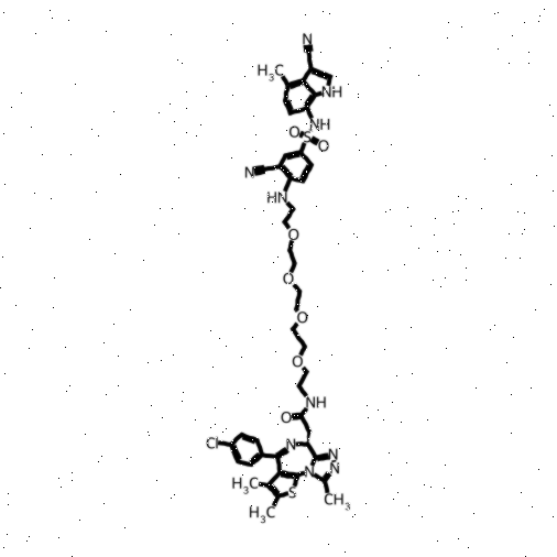 Cc1sc2c(c1C)C(c1ccc(Cl)cc1)=N[C@@H](CC(=O)NCCOCCOCCOCCOCCNc1ccc(S(=O)(=O)Nc3ccc(C)c4c(C#N)c[nH]c34)cc1C#N)c1nnc(C)n1-2